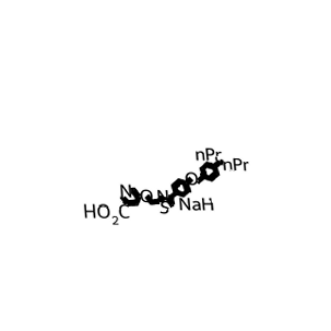 CCCC(CCC)c1ccc(COc2ccc(-c3csc(COc4cncc(C(=O)O)c4)n3)cc2)cc1.[NaH]